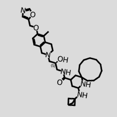 Cc1c(OCc2cnco2)ccc2c1CCN(C[C@@H](O)CNC(=O)C1CC(NC34CC(C3)C4)NC3(CCCCCCCCCC3)C1)C2